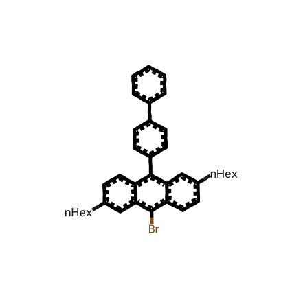 CCCCCCc1ccc2c(-c3ccc(-c4ccccc4)cc3)c3cc(CCCCCC)ccc3c(Br)c2c1